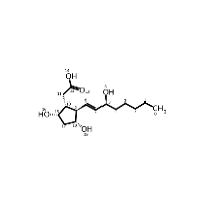 CCCCC[C@H](O)C=C[C@@H]1[C@@H](CC(=O)O)[C@@H](O)C[C@H]1O